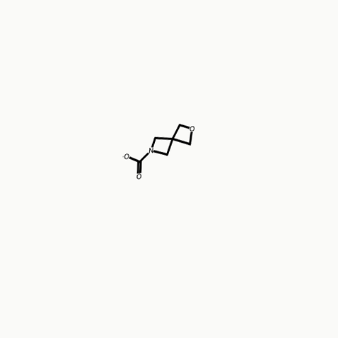 [O]C(=O)N1CC2(COC2)C1